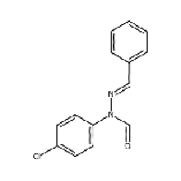 O=CN(N=Cc1ccccc1)c1ccc(Cl)cc1